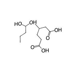 CC(CCC(=O)O)CC(=O)O.CCCC(O)O